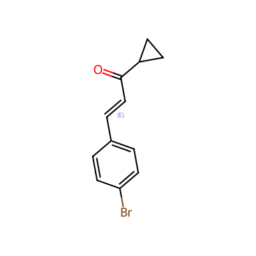 O=C(/C=C/c1ccc(Br)cc1)C1CC1